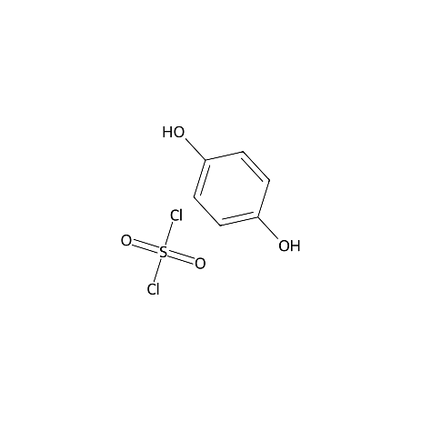 O=S(=O)(Cl)Cl.Oc1ccc(O)cc1